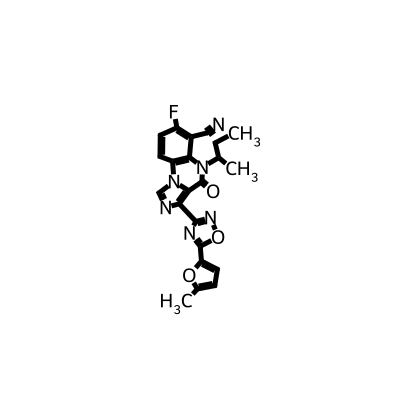 CCC(C)n1c(=O)c2c(-c3noc(-c4ccc(C)o4)n3)ncn2c2ccc(F)c(C#N)c21